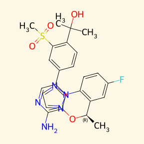 C[C@@H](Oc1cc(-c2ccc(C(C)(C)O)c(S(C)(=O)=O)c2)cnc1N)c1cc(F)ccc1-n1nccn1